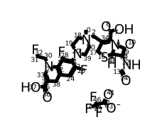 C[N+]1(CC2=C(C(=O)O)N3C(=O)[C@@H](NC=O)[C@H]3SC2)CCN(c2c(F)cc3c(c2F)N(CCF)C=C(C(=O)O)C3)CC1.O=C([O-])C(F)(F)F